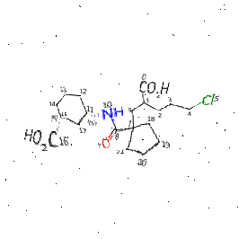 O=C(O)C(CCCCl)CC1(C(=O)N[C@H]2CCC[C@@H](C(=O)O)C2)CCCC1